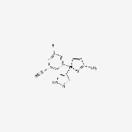 CC1=N[N+](c2cn[nH]c2)(c2cc(F)cc(C#N)c2)C=C1